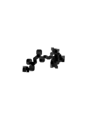 CC(C)OC(=O)C=CC(=O)OCCC[Si](O[Si](C)(C)C)(O[Si](C)(C)C)O[Si](C)(C)C